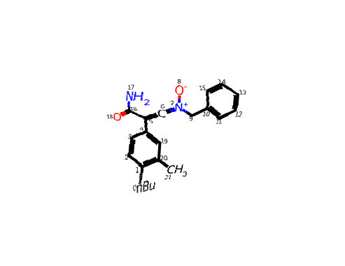 CCCCc1ccc(C(=C=[N+]([O-])Cc2ccccc2)C(N)=O)cc1C